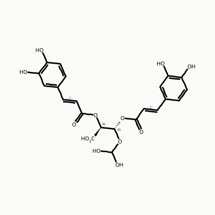 O=C(/C=C/c1ccc(O)c(O)c1)O[C@H](OC(O)O)[C@H](OC(=O)/C=C/c1ccc(O)c(O)c1)C(=O)O